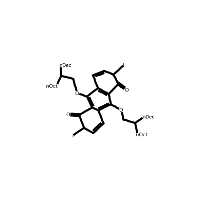 CCCCCCCCCCC(CCCCCCCC)COc1c2c(c(OCC(CCCCCCCC)CCCCCCCCCC)c3c1C(=O)C(I)C=C3)C(=O)C(I)C=C2